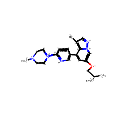 CO[C@@H](C)COc1cc(-c2ccc(N3CCN(C(=O)O)CC3)nc2)c2c(C#N)cnn2c1